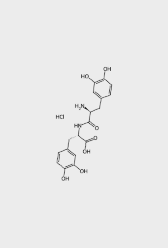 Cl.N[C@@H](Cc1ccc(O)c(O)c1)C(=O)N[C@@H](Cc1ccc(O)c(O)c1)C(=O)O